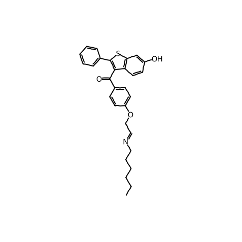 CCCCCCN=CCOc1ccc(C(=O)c2c(-c3ccccc3)sc3cc(O)ccc23)cc1